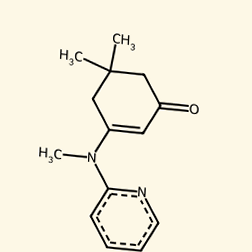 CN(C1=CC(=O)CC(C)(C)C1)c1ccccn1